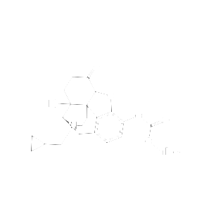 CCCCCCCCCCOC(=O)Oc1ccc2c3c1OC1C(=O)CCC4(O)C(C2)N(CC2CC2)CCC314